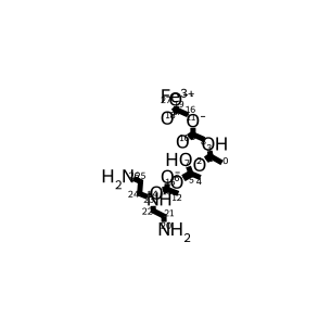 CC(=O)O.CC(=O)O.CC(=O)[O-].CC(=O)[O-].CC(=O)[O-].NCCNCCN.[Fe+3]